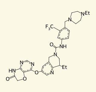 CCC1CN(C(=O)Nc2ccc(CN3CCN(CC)CC3)c(C(F)(F)F)c2)Cc2cc(Oc3ncnc4c3OCC(=O)N4)cnc21